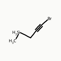 C[SiH2]CC#CBr